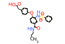 CCCNC(=O)c1ccc(Oc2ccc(CC(=O)O)cc2)c(NS(=O)(=O)c2ccccc2)c1